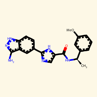 COc1cccc([C@@H](C)NC(=O)c2cnc(-c3ccc4[nH]nc(N)c4c3)[nH]2)c1